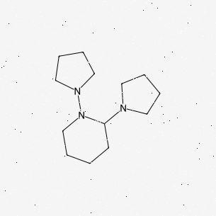 C1CCN(N2CCCC2)C(N2CCCC2)C1